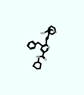 O=C(NC1CCCCC1)c1cnc(C#CC2(O)CN3CCC2CC3)c(Cc2ccccc2)c1